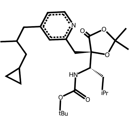 CC(C)C[C@H](NC(=O)OC(C)(C)C)[C@@]1(Cc2cc(CC(C)CC3CC3)ccn2)OC(C)(C)OC1=O